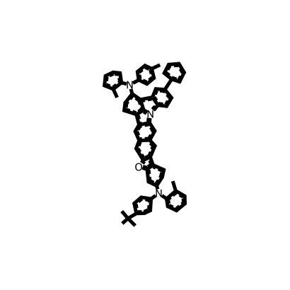 Cc1ccc(N(c2ccccc2C)c2ccc3c4cc5cc6oc7cc(N(c8ccc(C(C)(C)C)cc8)c8ccccc8C)ccc7c6cc5cc4n4c5ccc(-c6ccccc6)cc5c2c34)cc1